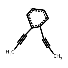 CC#Cc1c[c]ccc1C#CC